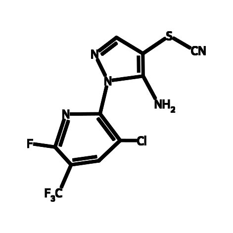 N#CSc1cnn(-c2nc(F)c(C(F)(F)F)cc2Cl)c1N